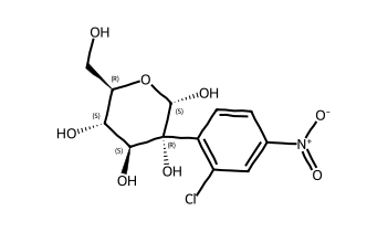 O=[N+]([O-])c1ccc([C@]2(O)[C@@H](O)O[C@H](CO)[C@@H](O)[C@@H]2O)c(Cl)c1